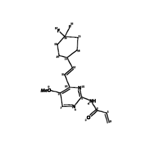 C=CC(=O)Nc1ncc(OC)c(C=CC2CCC(F)(F)CC2)n1